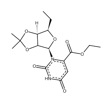 CCOC(=O)c1cc(=O)[nH]c(=O)n1[C@@H]1O[C@H](CC)[C@@H]2OC(C)(C)OC21